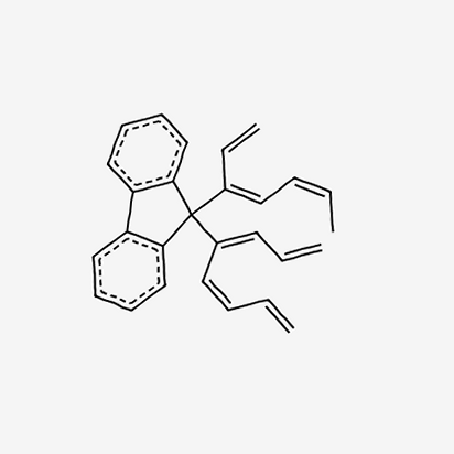 C=C/C=C\C(=C/C=C)C1(/C(C=C)=C/C=C\C)c2ccccc2-c2ccccc21